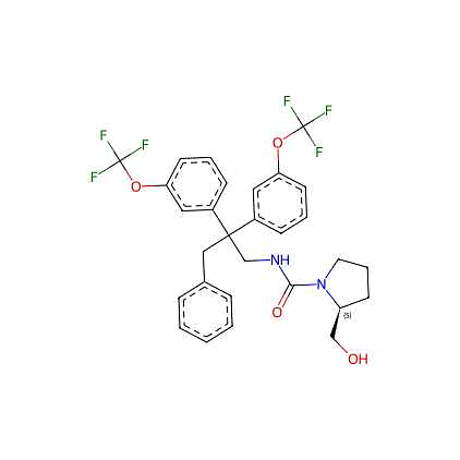 O=C(NCC(Cc1ccccc1)(c1cccc(OC(F)(F)F)c1)c1cccc(OC(F)(F)F)c1)N1CCC[C@H]1CO